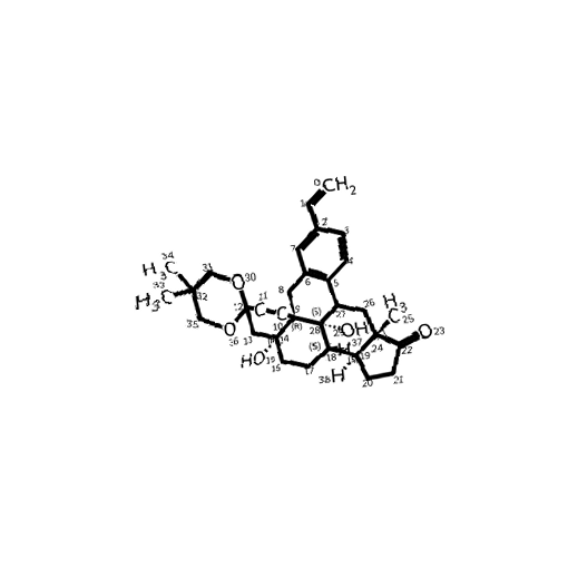 C=Cc1ccc2c(c1)C[C@]13CCC4(C[C@]1(O)CC[C@H]1[C@@H]5CCC(=O)[C@@]5(C)CC2[C@@]13O)OCC(C)(C)CO4